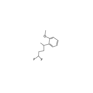 COc1ccccc1[C](C)CCC(F)F